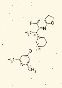 Cc1cc(OC[C@H]2CCCN([C@H](C)c3nc4c(cc3F)CCO4)C2)cc(C)n1